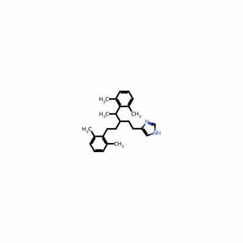 Cc1cccc(C)c1CCC(CCc1c[nH]cn1)C(C)c1c(C)cccc1C